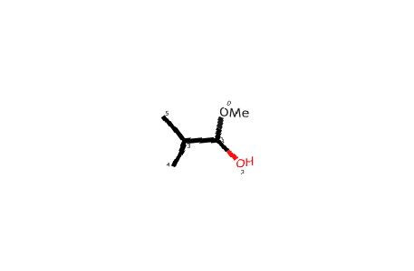 [CH2]OC(O)C(C)C